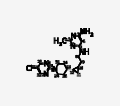 Cc1nc(N)cc(NCC[C@H]2C[C@@H]2C2CCN(c3ncc(Cl)cn3)CC2)n1